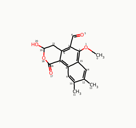 COc1c(C=O)c2c(c3cc(C)c(C)cc13)C(=O)OC(O)C2